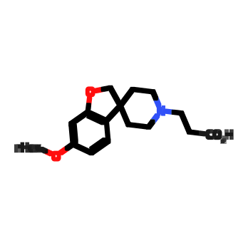 CCCCCCOc1ccc2c(c1)OCC21CCN(CCC(=O)O)CC1